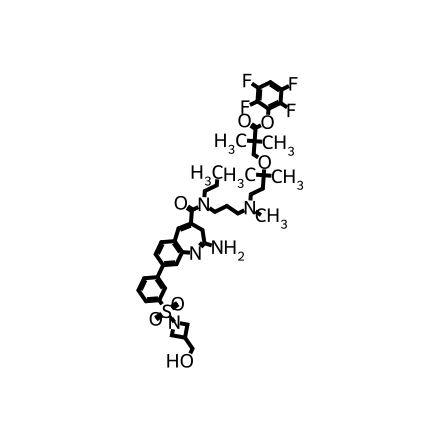 CCCN(CCCN(C)CCC(C)(C)OCC(C)(C)C(=O)Oc1c(F)c(F)cc(F)c1F)C(=O)C1=Cc2ccc(-c3cccc(S(=O)(=O)N4CC(CO)C4)c3)cc2N=C(N)C1